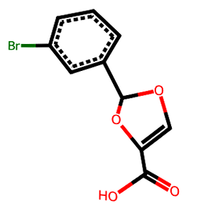 O=C(O)C1=COC(c2cccc(Br)c2)O1